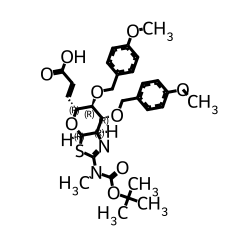 COc1ccc(CO[C@@H]2[C@H]3N=C(N(C)C(=O)OC(C)(C)C)S[C@H]3O[C@H](C=CC(=O)O)[C@H]2OCc2ccc(OC)cc2)cc1